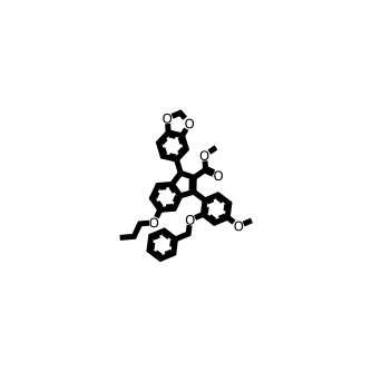 CCCOc1ccc2c(c1)C(c1ccc(OC)cc1OCc1ccccc1)=C(C(=O)OC)C2c1ccc2c(c1)OCO2